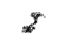 Cc1ncsc1-c1ccc([C@H](C)NC(=O)[C@@H]2C[C@@H](O)CN2C(=O)[C@@H](NC(=O)COCCOCCO[C@@H]2C[C@@H](COc3nc4c(c(N5CCN(C(N)=O)[C@@H](CC#N)C5)n3)CCN(c3cccc5ccccc35)C4)N(C)C2)C(C)(C)C)cc1